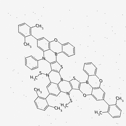 CSN1c2cc(-c3c(C)cccc3C)cc3c2B(c2sc4c(c21)Oc1cc(-c2c(C)cccc2C)cc2c1B4c1ccccc1O2)c1sc2c(c1N3SC)N(c1ccccc1)c1cc(-c3c(C)cccc3C)cc3c1B2c1ccccc1O3